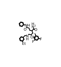 CCc1cccc(CNC[C@H](O)[C@@H](Cc2cc(F)cc(F)c2)C(CCC(=O)Nc2ccccc2)C(N)=O)c1